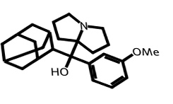 COc1cccc(C(O)(C2C3CC4CC(C3)CC2C4)C23CCCN2CCC3)c1